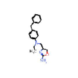 CCN(CC1COC(N)=N1)c1ccc(Cc2ccccc2)cc1